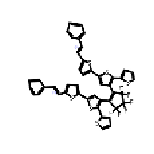 FC1(F)C(c2cc(-c3ccc(/C=C/c4ccccc4)s3)sc2-c2cccs2)=C(c2cc(-c3ccc(/C=C/c4ccccc4)s3)sc2-c2cccs2)C(F)(F)C1(F)F